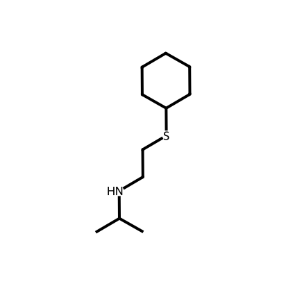 CC(C)NCCSC1CCCCC1